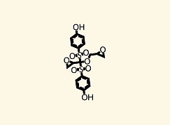 O=S(=O)(c1ccc(O)cc1)C(OCC1CO1)(C1CO1)S(=O)(=O)c1ccc(O)cc1